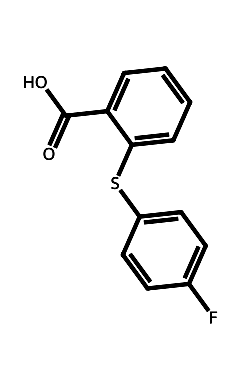 O=C(O)c1ccccc1Sc1ccc(F)cc1